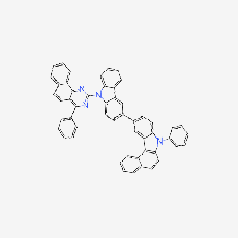 c1ccc(-c2nc(-n3c4ccccc4c4cc(-c5ccc6c(c5)c5c7ccccc7ccc5n6-c5ccccc5)ccc43)nc3c2ccc2ccccc23)cc1